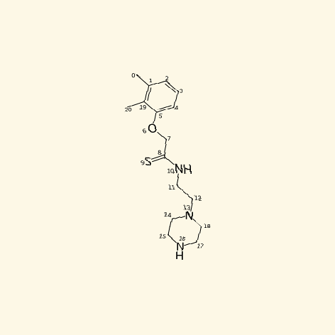 Cc1cccc(OCC(=S)NCCN2CCNCC2)c1C